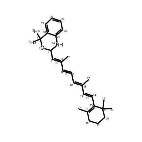 [2H]C1([2H])OC(/C=C(C)/C=C/C=C(C)/C=C/C2=C(C)CCCC2(C)C)Nc2ccccc21